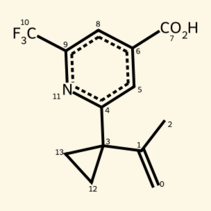 C=C(C)C1(c2cc(C(=O)O)cc(C(F)(F)F)n2)CC1